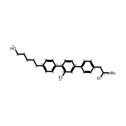 CCCCC(CC)Cc1ccc(-c2ccc(-c3ccc(CCCCCO)cc3)c(CC)c2)cc1